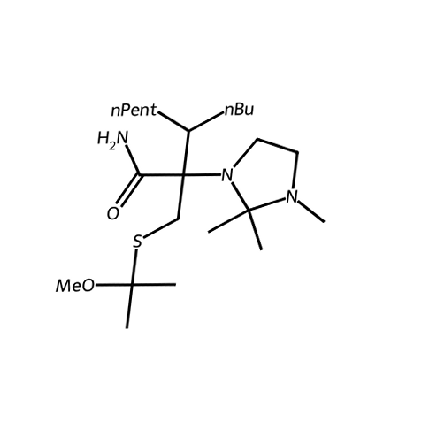 CCCCCC(CCCC)C(CSC(C)(C)OC)(C(N)=O)N1CCN(C)C1(C)C